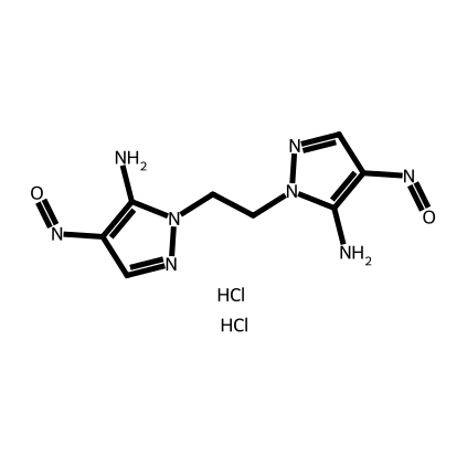 Cl.Cl.Nc1c(N=O)cnn1CCn1ncc(N=O)c1N